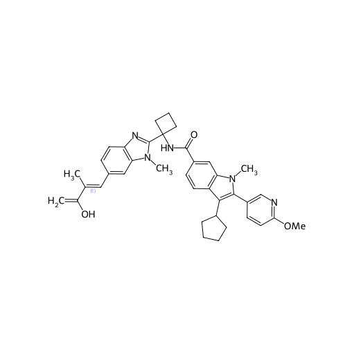 C=C(O)/C(C)=C/c1ccc2nc(C3(NC(=O)c4ccc5c(C6CCCC6)c(-c6ccc(OC)nc6)n(C)c5c4)CCC3)n(C)c2c1